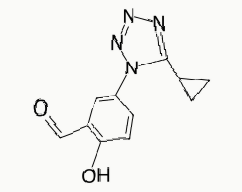 O=Cc1cc(-n2nnnc2C2CC2)ccc1O